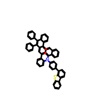 c1ccc(-c2c(-c3ccccc3)c3cc(-c4ccccc4N(c4ccc(-c5cccc6c5sc5ccccc56)cc4)c4cccc5ccccc45)ccc3c3ccccc23)cc1